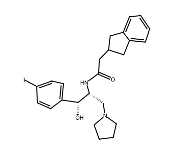 O=C(CC1Cc2ccccc2C1)N[C@H](CN1CCCC1)[C@H](O)c1ccc(I)cc1